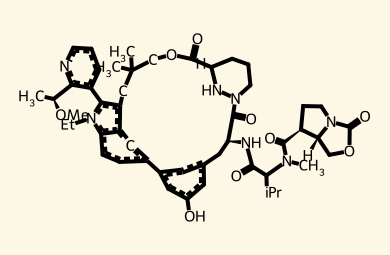 CCn1c(-c2cccnc2[C@H](C)OC)c2c3cc(ccc31)-c1cc(O)cc(c1)C[C@H](NC(=O)C(C(C)C)N(C)C(=O)[C@H]1CCN3C(=O)OC[C@H]13)C(=O)N1CCC[C@H](N1)C(=O)OCC(C)(C)C2